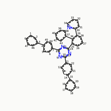 c1ccc(-c2ccc(-c3nc(-c4ccc(-c5ccccc5)cc4)nc(-c4cccc(-c5ccccn5)c4-c4ccccc4)n3)cc2)cc1